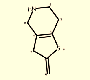 C=C1CC2=C(CCNC2)S1